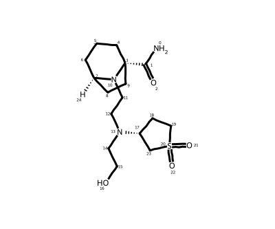 NC(=O)[C@]12C[CH]C[C@H](CC1)N2CCN(CCO)[C@@H]1CCS(=O)(=O)C1